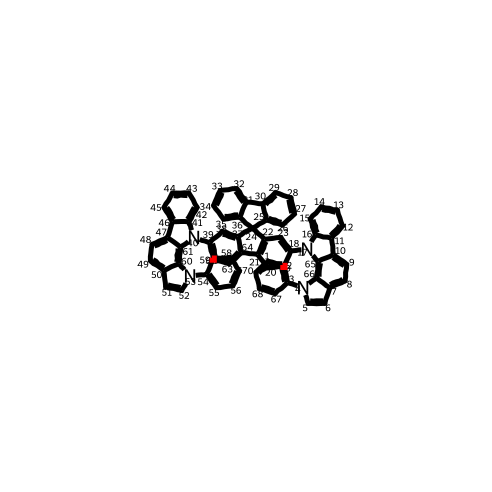 c1ccc(-n2ccc3ccc4c5ccccc5n(-c5ccc6c(c5)C5(c7ccccc7-c7ccccc75)c5cc(-n7c8ccccc8c8ccc9ccn(-c%10ccccc%10)c9c87)ccc5-6)c4c32)cc1